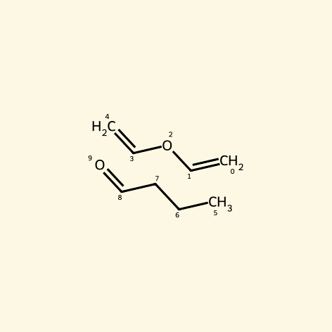 C=COC=C.CCCC=O